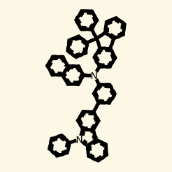 c1ccc(-n2c3ccccc3c3cc(-c4cccc(N(c5ccc6c(c5)C(c5ccccc5)(c5ccccc5)c5ccccc5-6)c5ccc6ccccc6c5)c4)ccc32)cc1